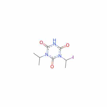 CC(C)n1c(=O)[nH]c(=O)n(C(C)I)c1=O